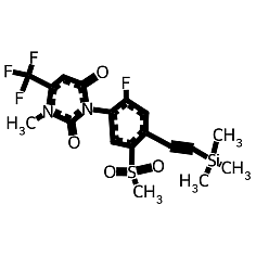 Cn1c(C(F)(F)F)cc(=O)n(-c2cc(S(C)(=O)=O)c(C#C[Si](C)(C)C)cc2F)c1=O